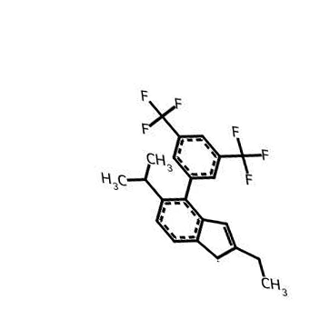 CCC1=Cc2c(ccc(C(C)C)c2-c2cc(C(F)(F)F)cc(C(F)(F)F)c2)[CH]1